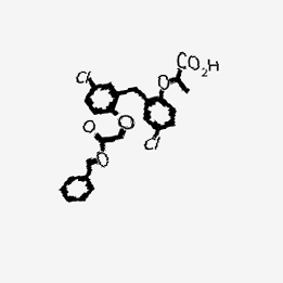 CC(Oc1ccc(Cl)cc1Cc1cc(Cl)ccc1OCC(=O)OCc1ccccc1)C(=O)O